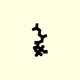 C=C(NCC(C)CCC(C)C)C(C)(S)C(C)(C)C